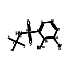 CC(C)(C)NS(=O)(=O)c1cccc(Br)c1Br